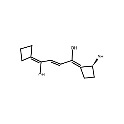 OC(/C=C/C(O)=C1\CC[C@@H]1S)=C1CCC1